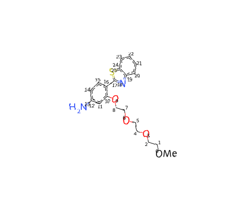 COCCOCCOCCOc1cc(N)ccc1-c1nc2ccccc2s1